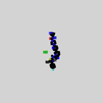 CCc1nc2ccc(-c3ccc(N4CCN(C(=O)NC5CNC5)CC4)nc3)cn2c1N(C)c1nc(-c2ccc(F)cc2)c(C#N)s1.Cl